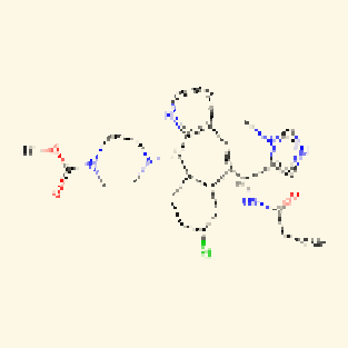 COCC(=O)N[C@H](C1=Cc2cccnc2[C@@H](N2CCN(C(=O)OC(C)C)CC2)C2CCC(Cl)CC12)c1cncn1C